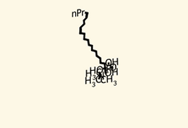 CCC/C=C\CC/C=C\CCCCCCCCCCCC(O)(C[N+](C)(C)C)P(=O)(O)O